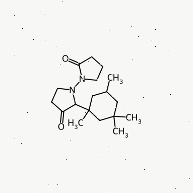 CC1CC(C)(C)CC(C)(C2C(=O)CCN2N2CCCC2=O)C1